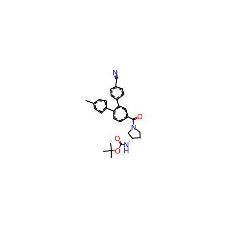 Cc1ccc(-c2ccc(C(=O)N3CC[C@H](NC(=O)OC(C)(C)C)C3)cc2-c2ccc(C#N)cc2)cc1